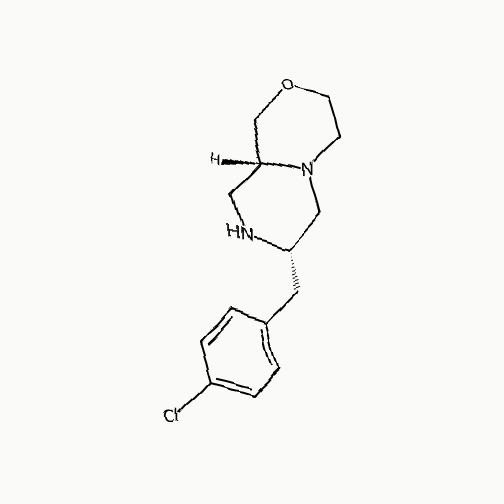 Clc1ccc(C[C@H]2CN3CCOC[C@H]3CN2)cc1